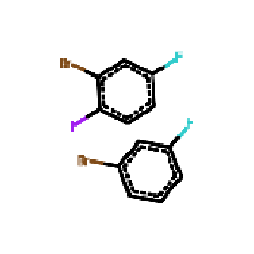 Fc1ccc(I)c(Br)c1.Fc1cccc(Br)c1